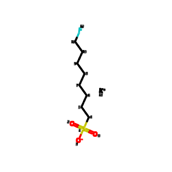 O=S(=O)([O-])CCCCCCCCF.[K+]